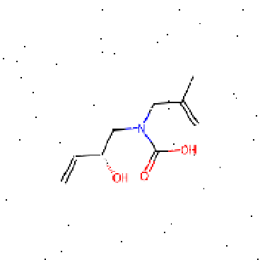 C=C[C@@H](O)CN(CC(=C)C)C(=O)O